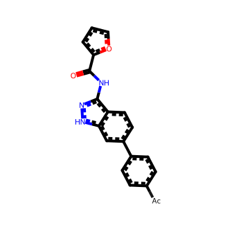 CC(=O)c1ccc(-c2ccc3c(NC(=O)c4ccco4)n[nH]c3c2)cc1